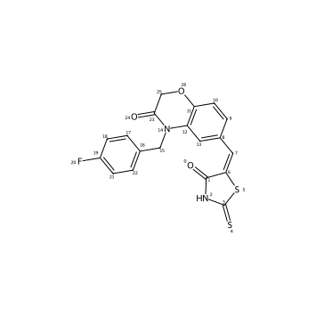 O=C1NC(=S)SC1=Cc1ccc2c(c1)N(Cc1ccc(F)cc1)C(=O)CO2